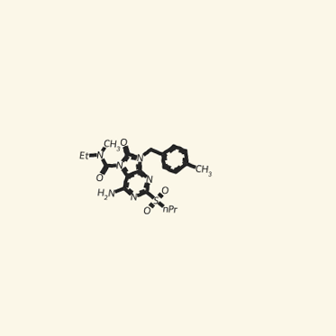 CCCS(=O)(=O)c1nc(N)c2c(n1)n(Cc1ccc(C)cc1)c(=O)n2C(=O)N(C)CC